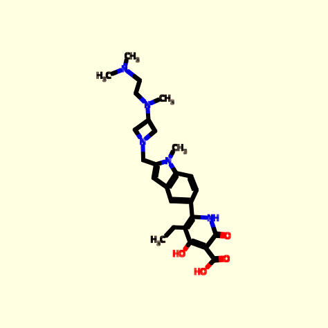 CCc1c(-c2ccc3c(c2)cc(CN2CC(N(C)CCN(C)C)C2)n3C)[nH]c(=O)c(C(=O)O)c1O